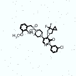 COc1cccc(CS(=O)(=O)N2CCN(c3cnn(-c4cccc(Cl)c4)c(=O)c3OCC3(C(F)(F)F)CC3)CC2)c1N